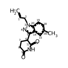 C=CCn1nc(C2CCC(=O)NC2=O)c2cc(C)ccc21